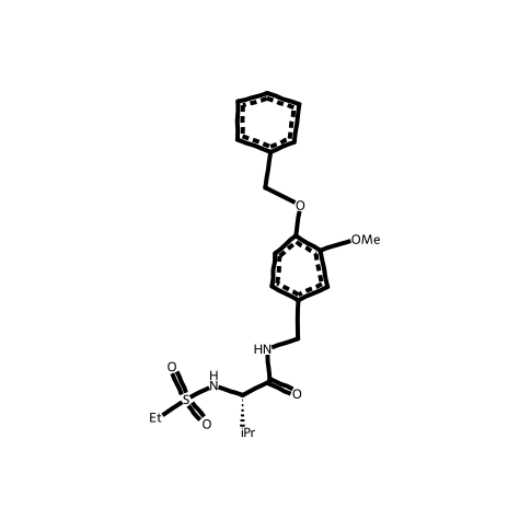 CCS(=O)(=O)N[C@H](C(=O)NCc1ccc(OCc2ccccc2)c(OC)c1)C(C)C